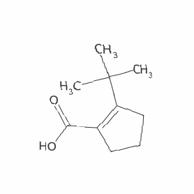 CC(C)(C)C1=C(C(=O)O)CCC1